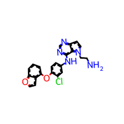 NCCn1ccc2ncnc(Nc3ccc(Oc4cccc5occc45)c(Cl)c3)c21